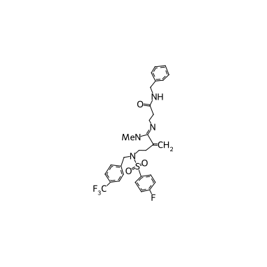 C=C(CCN(Cc1ccc(C(F)(F)F)cc1)S(=O)(=O)c1ccc(F)cc1)/C(=N/CCC(=O)NCc1ccccc1)NC